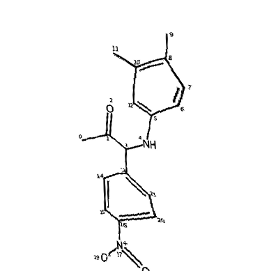 CC(=O)C(Nc1ccc(C)c(C)c1)c1ccc([N+](=O)[O-])cc1